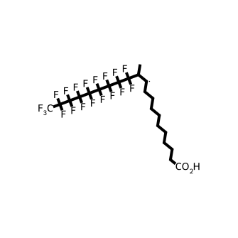 CC([CH]CCCCCCCCCC(=O)O)C(F)(F)C(F)(F)C(F)(F)C(F)(F)C(F)(F)C(F)(F)C(F)(F)C(F)(F)C(F)(F)F